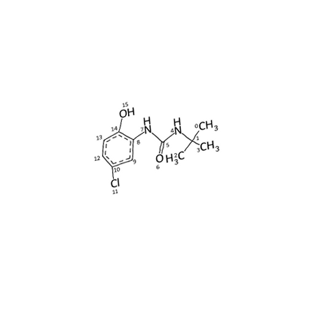 CC(C)(C)NC(=O)Nc1cc(Cl)ccc1O